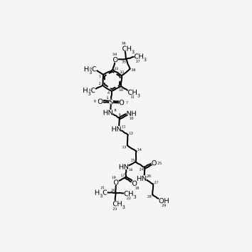 Cc1c(C)c(S(=O)(=O)NC(=N)NCCCC(NC(=O)OC(C)(C)C)C(=O)NCCO)c(C)c2c1OC(C)(C)C2